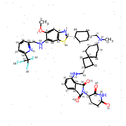 COc1cc2nc([C@H]3CC[C@H](CN(C)[C@H]4CCC5(CC4)C[C@@H](CNc4cccc6c4C(=O)N(C4CCC(=O)NC4=O)C6=O)C5)CC3)sc2cc1NCc1cccc(C(F)(F)F)n1